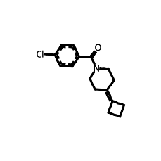 O=C(c1ccc(Cl)cc1)N1CCC(=C2CCC2)CC1